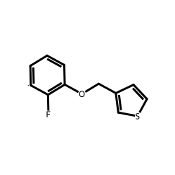 Fc1[c]cccc1OCc1ccsc1